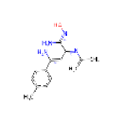 C=C(C)/N=C(\C=C(/N)c1ccc(C)cc1)C(/N)=N/O